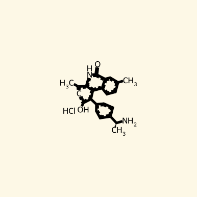 Cc1ccc2c(c1)c(=O)[nH]c1c(C)cc(O)c(-c3ccc([C@@H](C)N)cc3)c12.Cl